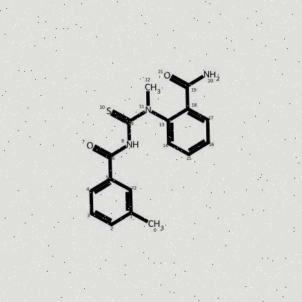 Cc1cccc(C(=O)NC(=S)N(C)c2ccccc2C(N)=O)c1